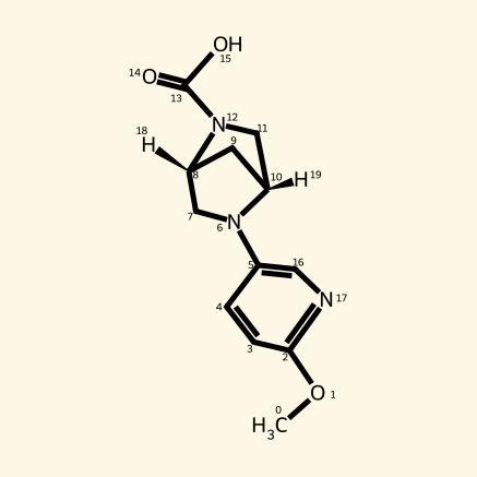 COc1ccc(N2C[C@H]3C[C@@H]2CN3C(=O)O)cn1